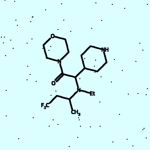 CCN(C(C)CC(F)(F)F)C(C(=O)N1CCOCC1)C1CCNCC1